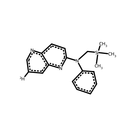 [2H]c1cnc2ccc(N(C[Si](C)(C)C)c3ccccc3)nc2c1